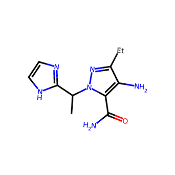 CCc1nn(C(C)c2ncc[nH]2)c(C(N)=O)c1N